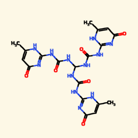 Cc1cc(=O)nc(NC(=O)NC(NC(=O)Nc2nc(=O)cc(C)[nH]2)NC(=O)Nc2nc(=O)cc(C)[nH]2)[nH]1